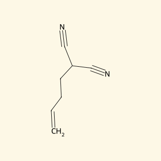 C=CCCC(C#N)C#N